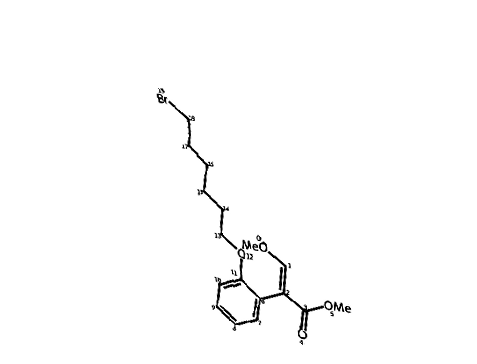 CO/C=C(/C(=O)OC)c1ccccc1OCCCCCCBr